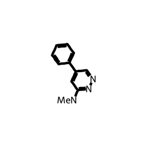 CNc1cc(-c2ccccc2)cnn1